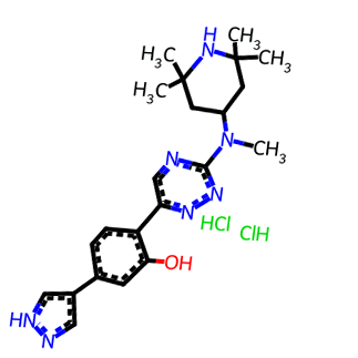 CN(c1ncc(-c2ccc(-c3cn[nH]c3)cc2O)nn1)C1CC(C)(C)NC(C)(C)C1.Cl.Cl